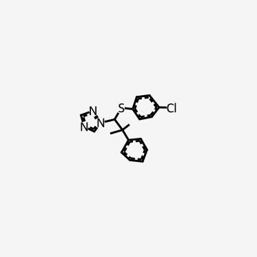 CC(C)(c1ccccc1)C(Sc1ccc(Cl)cc1)n1cncn1